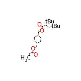 C=CC(=O)OCC1CCC(COC(=O)C(CC(C)(C)C)C(C)(C)C)CC1